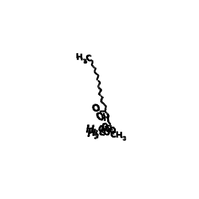 CCCCCCCCCCCCCCC(CCC[Si](OC)(OC)OC)C(=O)O